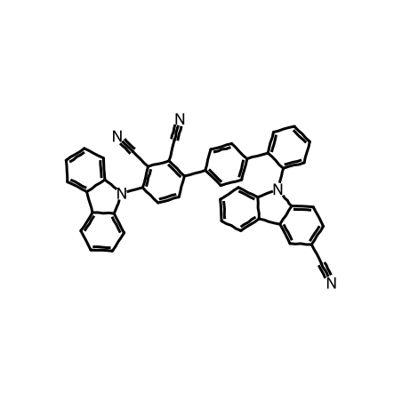 N#Cc1ccc2c(c1)c1ccccc1n2-c1ccccc1-c1ccc(-c2ccc(-n3c4ccccc4c4ccccc43)c(C#N)c2C#N)cc1